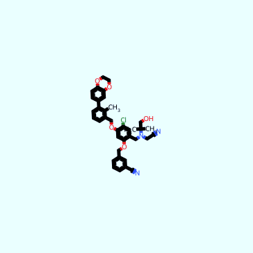 Cc1c(COc2cc(OCc3cccc(C#N)c3)c(CN(CC#N)C(C)(C)CO)cc2Cl)cccc1-c1ccc2c(c1)OCCO2